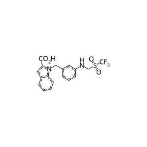 O=C(O)c1cc2ccccc2n1Cc1cccc(NCS(=O)(=O)C(F)(F)F)c1